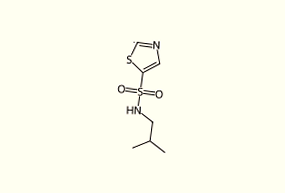 CC(C)CNS(=O)(=O)c1cn[c]s1